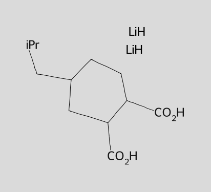 CC(C)CC1CCC(C(=O)O)C(C(=O)O)C1.[LiH].[LiH]